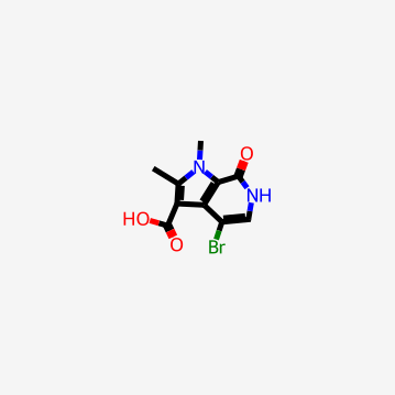 Cc1c(C(=O)O)c2c(Br)c[nH]c(=O)c2n1C